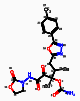 CCCC[C@@](OC(N)=O)(C(=O)C(=O)NN1CCOC1=O)C(Cc1nnc(-c2ccc(C(F)(F)F)cc2)o1)C(C)(C)C